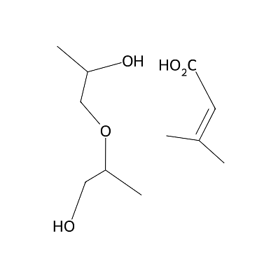 CC(C)=CC(=O)O.CC(O)COC(C)CO